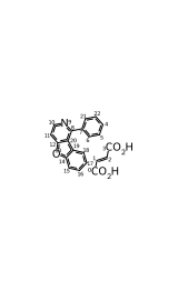 O=C(O)C=CC(=O)O.c1ccc(-c2nccc3oc4ccccc4c23)cc1